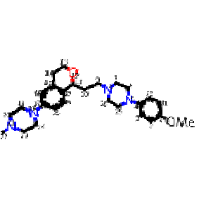 COc1ccc(N2CCN(CCC3OCCc4cc(N5CCN(C)CC5)ccc43)CC2)cc1